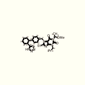 CCc1nc2c(c(=O)n(C(C)OC)c(=O)n2CC(C)C)n1Cc1ccc(-c2ccccc2-c2nnn[nH]2)cc1